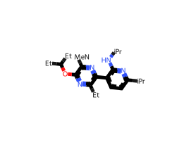 CCc1nc(OC(CC)CC)c(NC)nc1-c1ccc(C(C)C)nc1NC(C)C